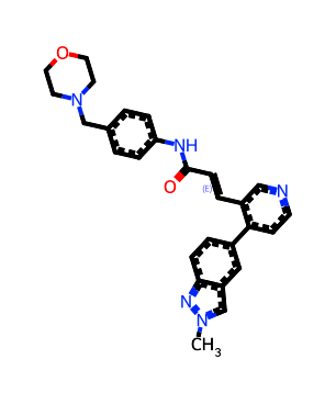 Cn1cc2cc(-c3ccncc3/C=C/C(=O)Nc3ccc(CN4CCOCC4)cc3)ccc2n1